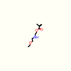 C=C(C)C(=O)OCCNCCOCC